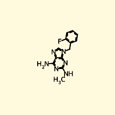 CNc1nc(N)c2ncn(Cc3ccccc3F)c2n1